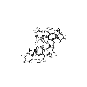 Nc1cccc(-c2ccccc2-n2c3ccccc3c3ccc4oc5ccccc5c4c32)c1-n1c2ccccc2c2ccc3c4ccccc4oc3c21